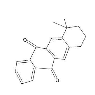 CC1(C)CCCc2cc3c(cc21)C(=O)c1ccccc1C3=O